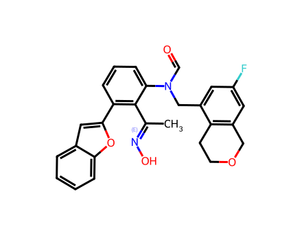 C/C(=N\O)c1c(-c2cc3ccccc3o2)cccc1N(C=O)Cc1cc(F)cc2c1CCOC2